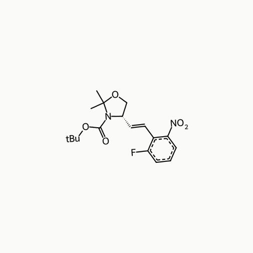 CC(C)(C)OC(=O)N1[C@@H](C=Cc2c(F)cccc2[N+](=O)[O-])COC1(C)C